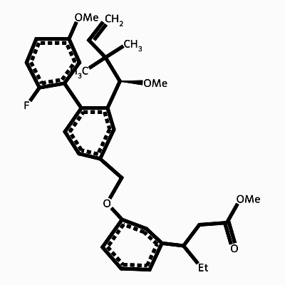 C=CC(C)(C)[C@@H](OC)c1cc(COc2cccc(C(CC)CC(=O)OC)c2)ccc1-c1cc(OC)ccc1F